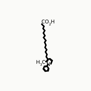 Cc1c(CCCCCCCCCCCCCCCC(=O)O)ccc[n+]1-c1ccccc1